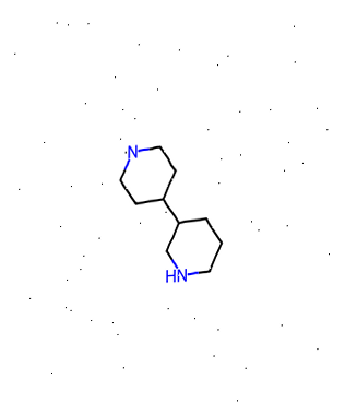 C1CNCC(C2CC[N]CC2)C1